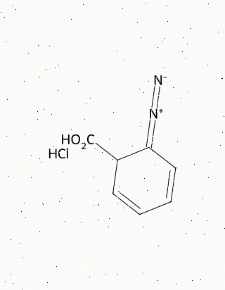 Cl.[N-]=[N+]=C1C=CC=CC1C(=O)O